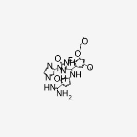 COCCOc1cc(OC)cc(C(Nc2ccc(C(=N)N)cc2)c2nn(-c3nccnc3O)c(=O)[nH]2)c1F